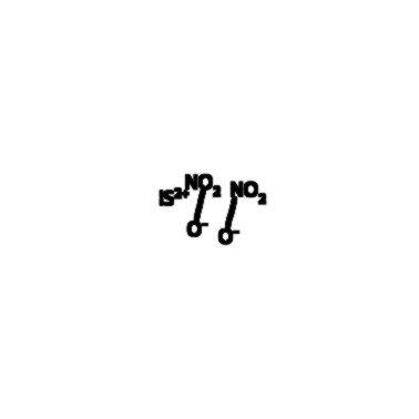 O=[N+]([O-])[O-].O=[N+]([O-])[O-].[S+2]